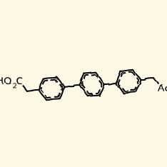 CC(=O)Cc1ccc(-c2ccc(-c3ccc(CC(=O)O)cc3)cc2)cc1